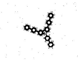 C1=CCCC(C2=CC=C(n3c4ccc(-c5ccc(-c6ccccc6)cc5)cc4c4cc(-c5ccc(-c6ccccc6)cc5)ccc43)CC2)=C1